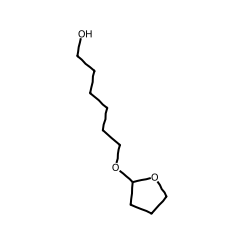 OCCCCCCOC1CCCO1